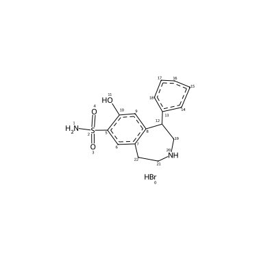 Br.NS(=O)(=O)c1cc2c(cc1O)C(c1ccccc1)CNCC2